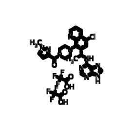 CC(Nc1ncnc2[nH]cnc12)c1cc(Cl)c2cccnc2c1N1CCN(C(=O)c2ccn(C)n2)CC1.O=C(O)C(F)(F)F.O=C(O)C(F)(F)F